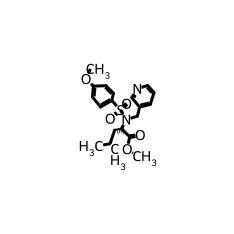 COC(=O)[C@@H](CC(C)C)N(Cc1cccnc1)S(=O)(=O)c1ccc(OC)cc1